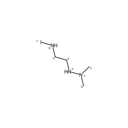 CN(C)NCCNI